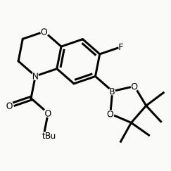 CC(C)(C)OC(=O)N1CCOc2cc(F)c(B3OC(C)(C)C(C)(C)O3)cc21